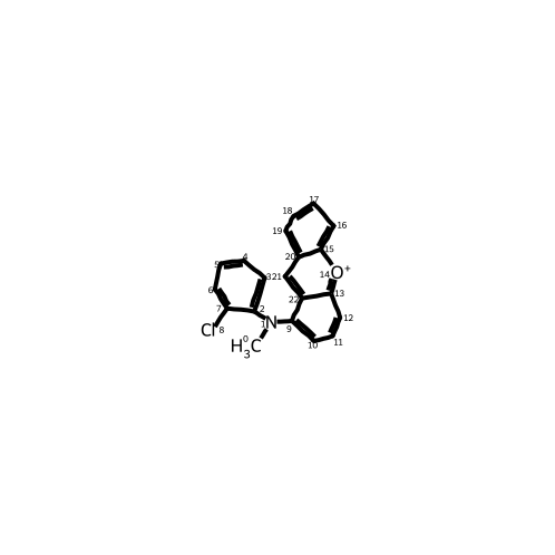 CN(c1ccccc1Cl)c1cccc2[o+]c3ccccc3cc12